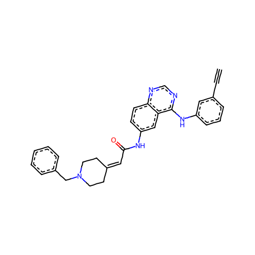 C#Cc1cccc(Nc2ncnc3ccc(NC(=O)C=C4CCN(Cc5ccccc5)CC4)cc23)c1